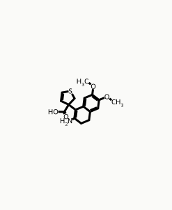 COc1cc2c(cc1OC)C(C1(C(=O)O)C=CSC1)=C(N)CC2